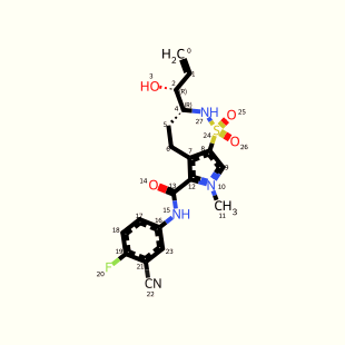 C=C[C@@H](O)[C@H]1CCc2c(cn(C)c2C(=O)Nc2ccc(F)c(C#N)c2)S(=O)(=O)N1